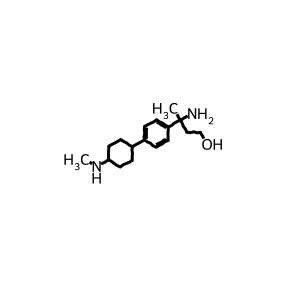 CNC1CCC(c2ccc(C(C)(N)CCO)cc2)CC1